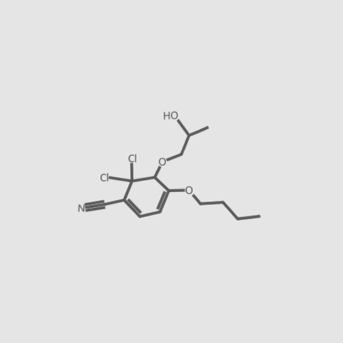 CCCCOC1=CC=C(C#N)C(Cl)(Cl)C1OCC(C)O